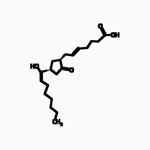 CCCCCC/C=C(/O)[C@H]1CC(=O)[C@@H](CC=CCCCC(=O)O)C1